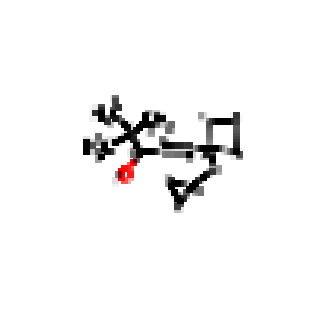 CC(C)(C)C([O])C#CC1(CC2CC2)CCC1